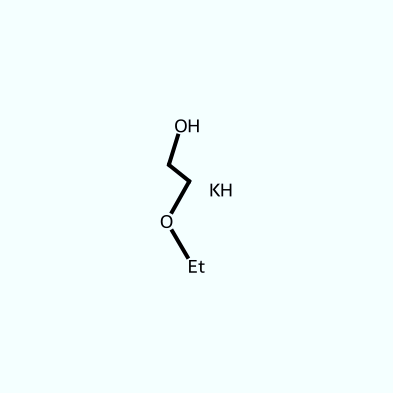 CCOCCO.[KH]